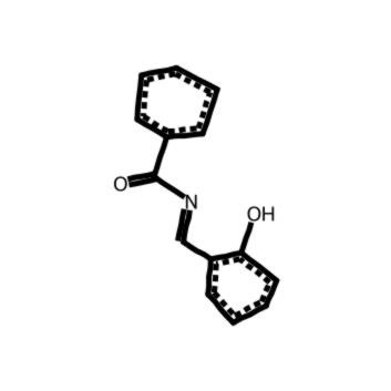 O=C(N=Cc1ccccc1O)c1ccccc1